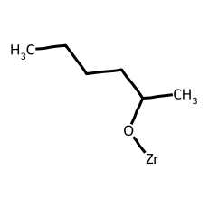 CCCCC(C)[O][Zr]